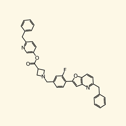 O=C(Oc1ccc(Cc2ccccc2)nc1)C1CN(Cc2ccc(-c3cc4nc(Cc5ccccc5)ccc4o3)c(F)c2)C1